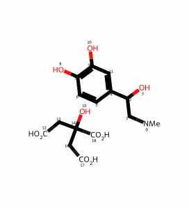 CNCC(O)c1ccc(O)c(O)c1.O=C(O)CC(O)(CC(=O)O)C(=O)O